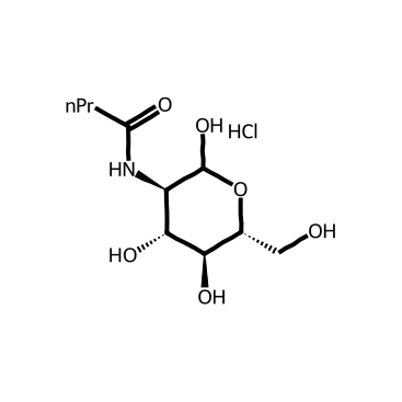 CCCC(=O)N[C@H]1C(O)O[C@H](CO)[C@@H](O)[C@@H]1O.Cl